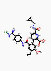 C=Cc1cc(C(=O)Nc2ccc(C(=N)NCl)cc2)c(-c2ccc(C(=O)NCC3CC3)nc2C(=O)O)cc1OC